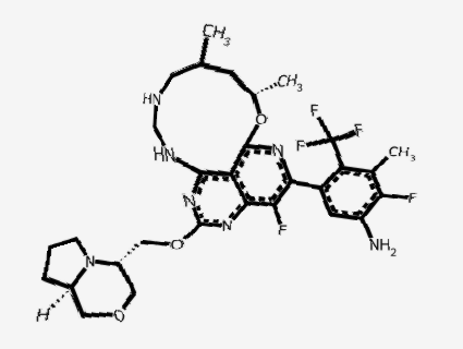 Cc1c(F)c(N)cc(-c2nc3c4c(nc(OC[C@@H]5COC[C@H]6CCCN65)nc4c2F)NCNCC(C)C[C@H](C)O3)c1C(F)(F)F